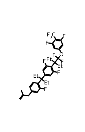 C=C(C)Cc1ccc(C(CC)(CC)c2cc(F)c(C(CC)(CC)C(F)(F)Oc3cc(F)c(C(F)(F)F)c(F)c3)c(F)c2)c(F)c1